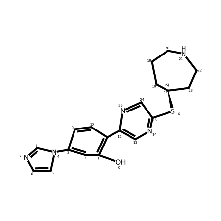 Oc1cc(-n2ccnc2)ccc1-c1cnc(S[C@H]2CCCNCC2)cn1